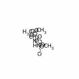 CCOc1ccc2c(C(=O)c3cc(OC)c(OC)c(OC)c3)cncc2c1NC(=O)CCc1ccccc1